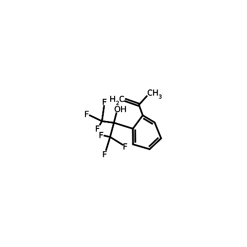 C=C(C)c1ccccc1C(O)(C(F)(F)F)C(F)(F)F